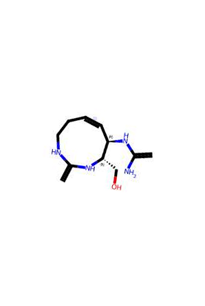 C=C(N)N[C@@H]1/C=C\CCNC(=C)N[C@H]1CO